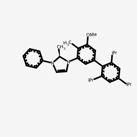 COc1cc(-c2c(C(C)C)cc(C(C)C)cc2C(C)C)cc(N2C=CN(c3ccccc3)[C@H]2C)c1C